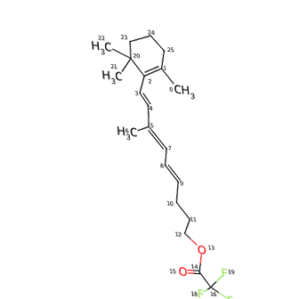 CC1=C(/C=C/C(C)=C/C=C/CCCOC(=O)C(F)(F)F)C(C)(C)CCC1